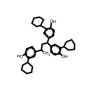 CC(CC(c1ccc(O)c(C2CCCCC2)c1)c1ccc(O)c(C2CCCCC2)c1)c1ccc(O)c(C2CCCCC2)c1